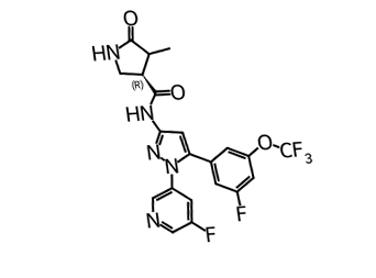 CC1C(=O)NC[C@@H]1C(=O)Nc1cc(-c2cc(F)cc(OC(F)(F)F)c2)n(-c2cncc(F)c2)n1